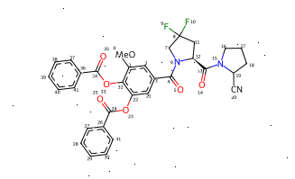 COc1cc(C(=O)N2CC(F)(F)C[C@H]2C(=O)N2CCCC2C#N)cc(OC(=O)c2ccccc2)c1OC(=O)c1ccccc1